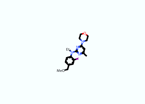 CCN(c1nc(C)cc(N2CCOCC2)n1)c1ccc(COC)cc1I